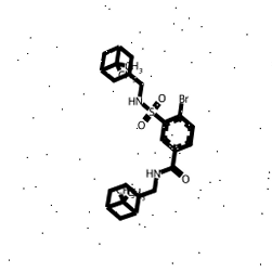 CC1(C)C2CC(CNS(=O)(=O)c3cc(C(=O)NCC4CCC5CC4C5(C)C)ccc3Br)CC1C2